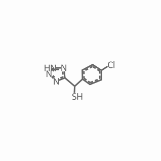 SC(c1ccc(Cl)cc1)c1nn[nH]n1